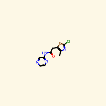 Cc1nc(Cl)sc1CC(=O)Nc1cnccn1